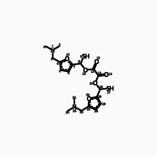 CN(C)Cc1ccc(C(S)OC(=O)C(=O)OC(S)c2ccc(CN(C)C)o2)o1